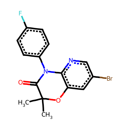 CC1(C)Oc2cc(Br)cnc2N(c2ccc(F)cc2)C1=O